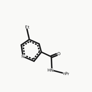 CCCNC(=O)c1cncc(CC)c1